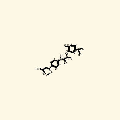 COC(CC(=O)O)c1ccc(NC(=O)C(C)Oc2cc(C(C)C)ccc2C)cc1